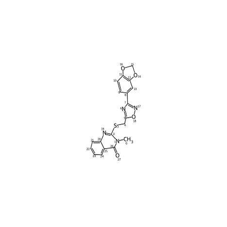 Cn1c(SCc2nc(-c3ccc4c(c3)OCO4)no2)nc2ccccc2c1=O